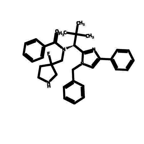 CC(C)(C)[C@H](c1nc(-c2ccccc2)cn1Cc1ccccc1)N(CC1(F)CCNC1)C(=O)c1ccccc1